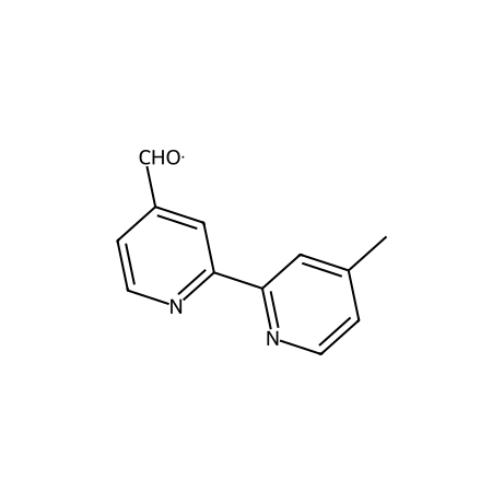 Cc1ccnc(-c2cc([C]=O)ccn2)c1